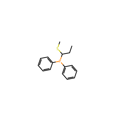 CCC(SC)P(c1ccccc1)c1ccccc1